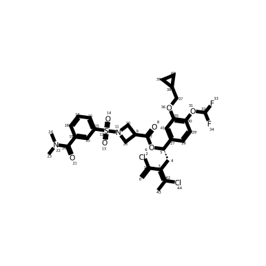 C=C(Cl)/C(C[C@H](OC(=O)C1CN(S(=O)(=O)c2cccc(C(=O)N(C)C)c2)C1)c1ccc(OC(F)F)c(OCC2CC2)c1)=C(\C)Cl